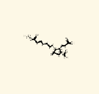 COC(=O)CCCCCC[C@H]1C(=O)C[C@@H](C(C)=O)[C@@H]1CCC(=O)O